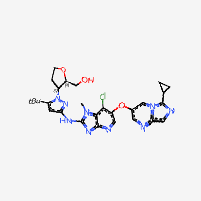 Cn1c(Nc2cc(C(C)(C)C)n([C@H]3CCO[C@H]3CO)n2)nc2ncc(Oc3cnc4cnc(C5CC5)n4c3)c(Cl)c21